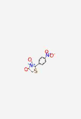 C[N+]1(C=O)C(=O)CSC1c1ccc([N+](=O)[O-])cc1